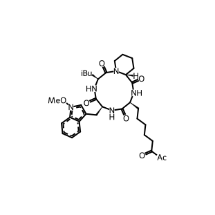 CCC(C)[C@@H]1NC(=O)[C@H](Cc2cn(OC)c3ccccc23)NC(=O)[C@H](CCCCCC(=O)C(C)=O)NC(=O)[C@H]2CCCCN2C1=O